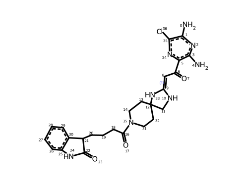 Nc1nc(N)c(C(=O)/C=C2\NCC3(CCN(C(=O)CCCC4C(=O)Nc5ccccc54)CC3)N2)nc1Cl